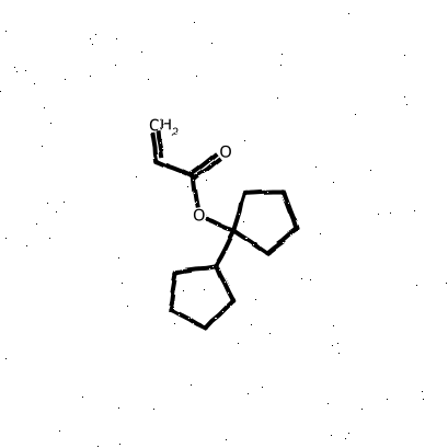 C=CC(=O)OC1(C2CCCC2)CCCC1